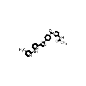 CC(=O)NC1CCN(C(=O)[C@H]2CC[C@H](c3ncc(-c4cccc(Nc5cc(C)ccn5)n4)s3)CC2)C1